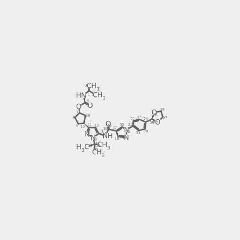 CC(C)NC(=O)O[C@@H]1CC[C@H](c2cc(NC(=O)c3cnn(-c4ccc(C5OCCO5)cc4)c3)n(C(C)(C)C)n2)C1